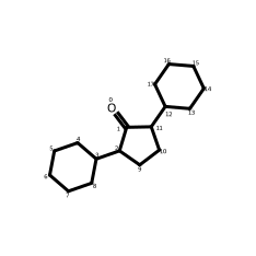 O=C1C(C2CCCCC2)CCC1C1CCCCC1